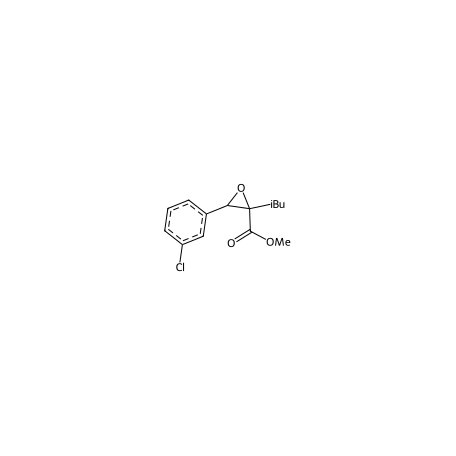 CCC(C)C1(C(=O)OC)OC1c1cccc(Cl)c1